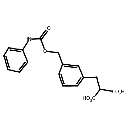 O=C(Nc1ccccc1)OCc1cccc(CC(C(=O)O)C(=O)O)c1